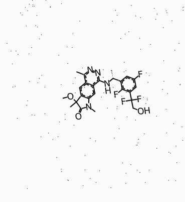 COC1(C)C(=O)N(C)c2cc3c(N[C@H](C)c4cc(F)cc(C(F)(F)CO)c4F)nnc(C)c3cc21